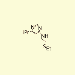 CCSCCNc1cc(C(C)C)ncn1